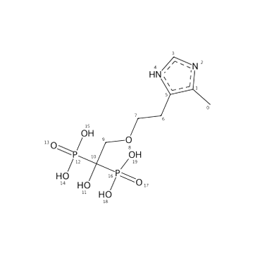 Cc1nc[nH]c1CCOCC(O)(P(=O)(O)O)P(=O)(O)O